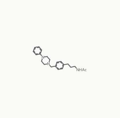 CC(=O)NCCCc1ccc(CN2CCN(c3ccccc3)CC2)cc1